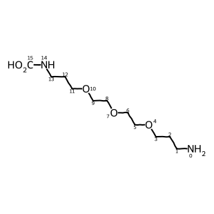 NCCCOCCOCCOCCCNC(=O)O